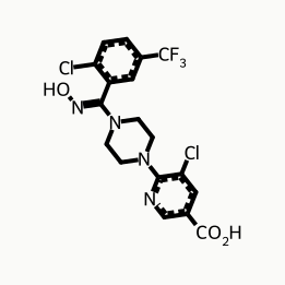 O=C(O)c1cnc(N2CCN(C(=NO)c3cc(C(F)(F)F)ccc3Cl)CC2)c(Cl)c1